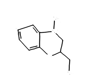 NCC1CN(N)c2ccccc2O1